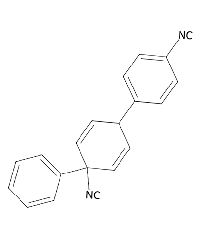 [C-]#[N+]c1ccc(C2C=CC([N+]#[C-])(c3ccccc3)C=C2)cc1